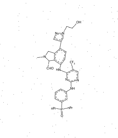 CCCP(=O)(CCC)c1cccc(Nc2ncc(C(F)(F)F)c(Nc3ccc(-c4cnn(CCO)c4)c4c3C(C=O)N(C)C4)n2)c1